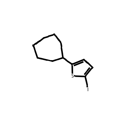 Ic1ccc(C2CCCCCC2)s1